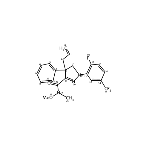 C=CCC1(c2ccccc2)CN(c2cc(C(F)(F)F)ccc2F)N=C1C(=O)N(C)OC